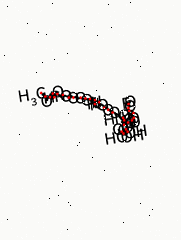 CC#CC(=O)c1ccc(C(=O)NCCOCCOCCOCCOCc2cn(CCOCCOCCOCCNC(=O)c3ccc(OC4O[C@H](CO)[C@H](O)[C@H](O)[C@H]4O)c(OS(=O)(=O)Oc4ccc(COC(=O)F)cc4)c3)nn2)cc1